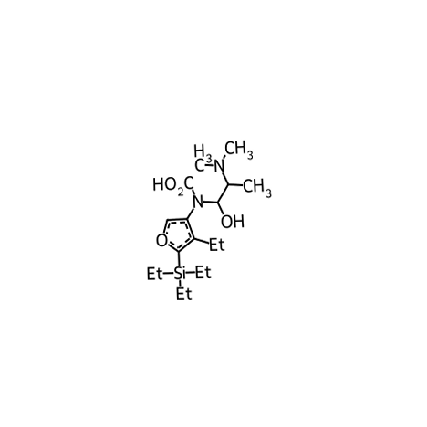 CCc1c(N(C(=O)O)C(O)C(C)N(C)C)coc1[Si](CC)(CC)CC